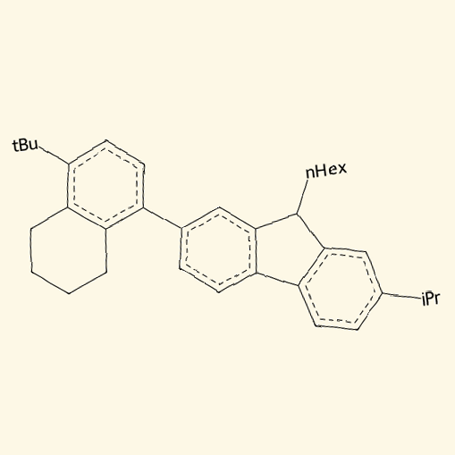 CCCCCCC1c2cc(-c3ccc(C(C)(C)C)c4c3CCCC4)ccc2-c2ccc(C(C)C)cc21